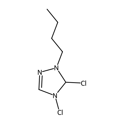 CCCCN1N=CN(Cl)C1Cl